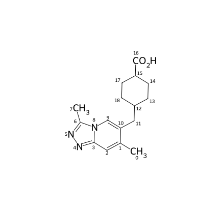 Cc1cc2nnc(C)n2cc1CC1CCC(C(=O)O)CC1